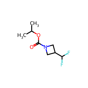 CC(C)OC(=O)N1CC(C(F)F)C1